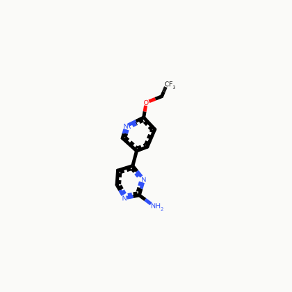 Nc1nccc(-c2ccc(OCC(F)(F)F)nc2)n1